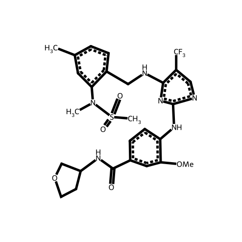 COc1cc(C(=O)NC2CCOC2)ccc1Nc1ncc(C(F)(F)F)c(NCc2ccc(C)cc2N(C)S(C)(=O)=O)n1